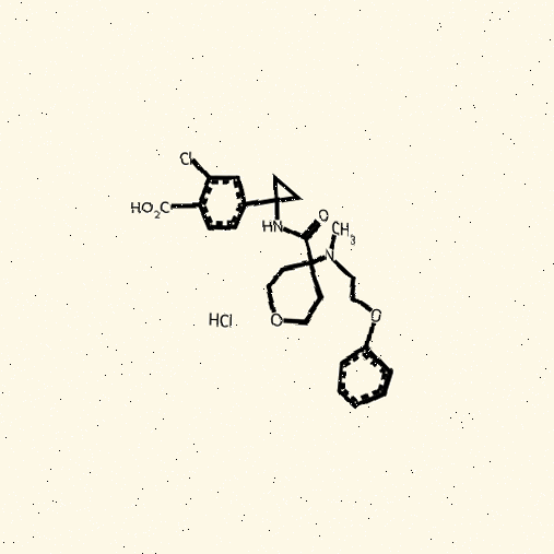 CN(CCOc1ccccc1)C1(C(=O)NC2(c3ccc(C(=O)O)c(Cl)c3)CC2)CCOCC1.Cl